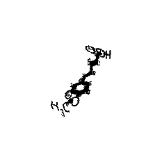 CC1Oc2ccc(C=CC=CC(=O)O)cc2O1